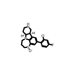 [O-][S+]1CCCN2c3c(cc(-c4ccc(F)cc4Cl)cc31)[C@@H]1CNCC[C@@H]12